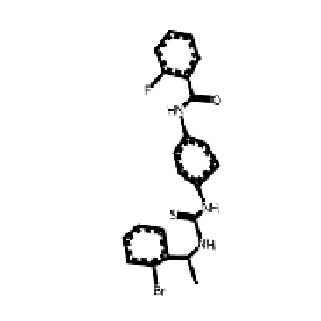 CC(NC(=S)Nc1ccc(NC(=O)c2ccccc2F)cc1)c1ccccc1Br